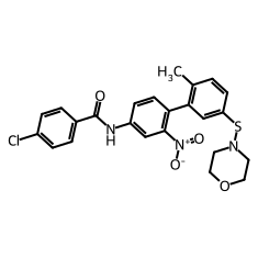 Cc1ccc(SN2CCOCC2)cc1-c1ccc(NC(=O)c2ccc(Cl)cc2)cc1[N+](=O)[O-]